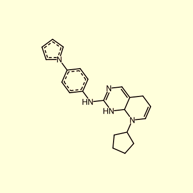 C1=CN(C2CCCC2)C2NC(Nc3ccc(-n4cccc4)cc3)=NC=C2C1